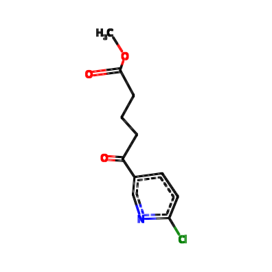 COC(=O)CCCC(=O)c1ccc(Cl)nc1